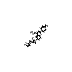 CCN1CCN(c2cc(C)c3cc(NC(=S)NCc4ccco4)ccc3n2)CC1